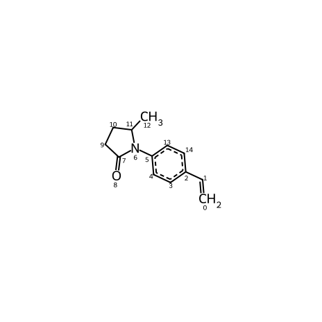 C=Cc1ccc(N2C(=O)CCC2C)cc1